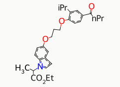 CCCC(=O)c1ccc(OCCCOc2ccc3c(ccn3C(C)C(=O)OCC)c2)c(C(C)C)c1